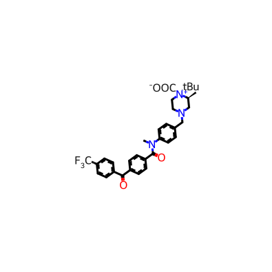 C[C@H]1CN(Cc2ccc(N(C)C(=O)c3ccc(C(=O)c4ccc(C(F)(F)F)cc4)cc3)cc2)CC[N+]1(C(=O)[O-])C(C)(C)C